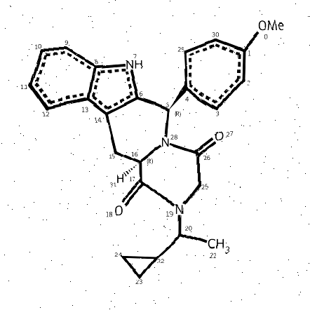 COc1ccc([C@@H]2c3[nH]c4ccccc4c3C[C@@H]3C(=O)N(C(C)C4CC4)CC(=O)N23)cc1